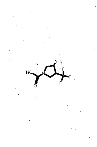 NC1CN(C(=O)O)CC1C(F)(F)F